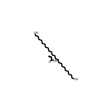 C=CC(=O)O.OCCCCCCCCCCCCCCCCCCCCCCCO